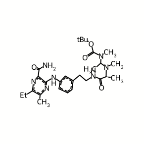 CCc1nc(C(N)=O)c(Nc2cccc(CCNC(=O)[C@H](C)N(C)C(C)N(C)C(=O)OC(C)(C)C)c2)nc1C